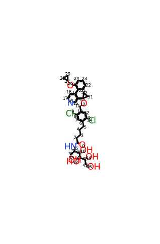 O=C(CCCCc1cc(Cl)c(COC2(c3cnccc3-c3ccccc3OC3CC3)CC2)cc1Cl)NC(CO)C(O)C(O)C(O)CO